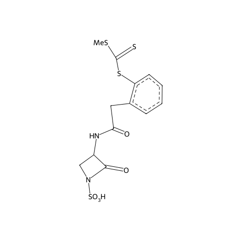 CSC(=S)Sc1ccccc1CC(=O)NC1CN(S(=O)(=O)O)C1=O